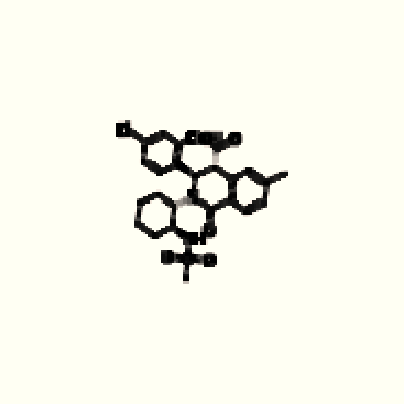 Cc1ccc2c(c1)[C@@H](C(=O)O)[C@H](c1ccc(Cl)cc1Cl)N([C@H]1CCCC[C@@H]1NS(C)(=O)=O)C2=O